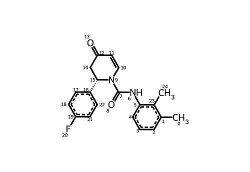 Cc1cccc(NC(=O)N2C=CC(=O)C[C@H]2c2ccc(F)cc2)c1C